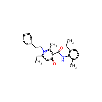 CCc1cccc(C)c1NC(=O)c1c(C)n(CCc2ccccc2)c(CC)cc1=O